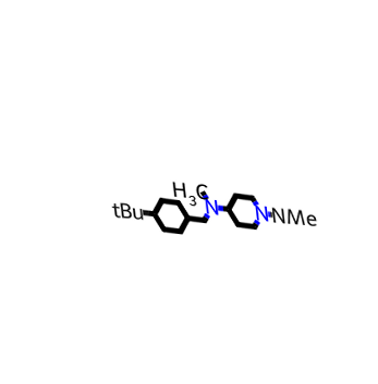 CNN1CCC(N(C)CC2CCC(C(C)(C)C)CC2)CC1